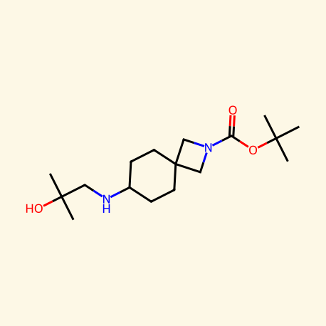 CC(C)(O)CNC1CCC2(CC1)CN(C(=O)OC(C)(C)C)C2